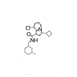 CC1CCCC(CNC(=O)c2cc(C3CCC3)n3cccc(Cl)c23)C1